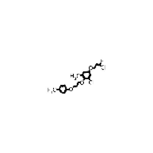 Cc1cc(OCC=C(F)Cl)cc(Cl)c1OCCCOc1ccc(C(F)(F)F)cc1